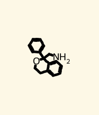 NCC1(c2ccccc2)OCCc2ccccc21